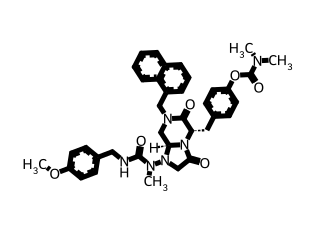 COc1ccc(CNC(=O)N(C)N2CC(=O)N3[C@@H](Cc4ccc(OC(=O)N(C)C)cc4)C(=O)N(Cc4cccc5ccccc45)C[C@@H]32)cc1